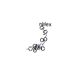 CCCCCCc1ccc(-c2ccc(CCOC(=O)CC3C/C(=N/NS(=O)(=O)c4ccc(C)cc4)c4ccccc43)s2)s1